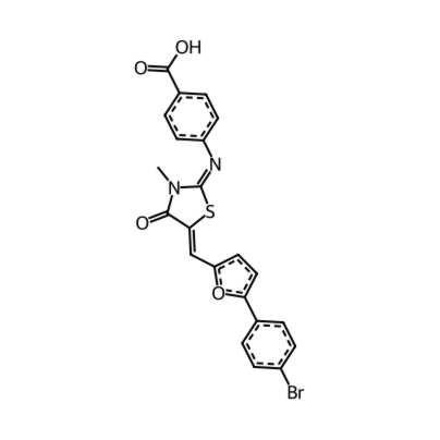 CN1C(=O)/C(=C/c2ccc(-c3ccc(Br)cc3)o2)S/C1=N/c1ccc(C(=O)O)cc1